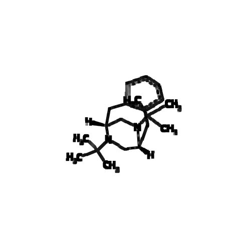 CC(C)(C)N1C[C@H]2Cc3ccccc3C[C@@H]1CN2C(C)(C)C